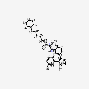 C=c1ccc(-c2cn[nH]c2-c2cccc(C)n2)c/c1=C/C(=C\C)C(=O)OCCCCCC1=CCCCC1